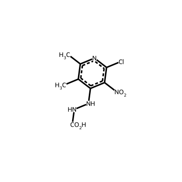 Cc1nc(Cl)c([N+](=O)[O-])c(NNC(=O)O)c1C